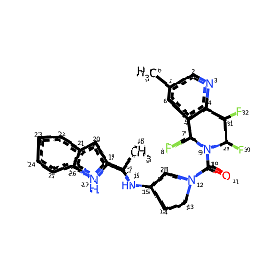 Cc1cnc2c(c1)C(F)N(C(=O)N1CCC(NC(C)c3cc4ccccc4[nH]3)C1)C(F)C2F